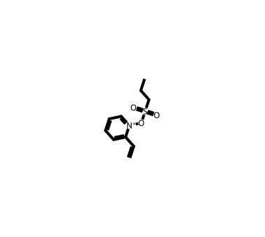 C=Cc1cccc[n+]1OS(=O)(=O)CCC